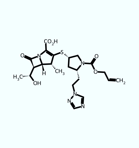 C=CCOC(=O)N1C[C@@H](SC2=C(C(=O)O)N3C(=O)[C@H]([C@@H](C)O)[C@H]3[C@H]2C)C[C@H]1CCn1cncn1